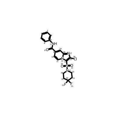 O=C(Nc1ccccc1)c1ccn2c(S(=O)(=O)N3CCC(F)(F)CC3)c(Cl)nc2c1